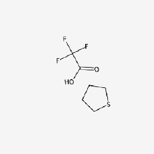 C1CCSC1.O=C(O)C(F)(F)F